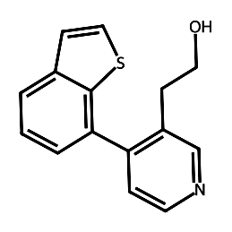 OCCc1cnccc1-c1cccc2ccsc12